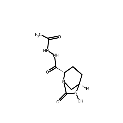 O=C(NNC(=O)C(F)(F)F)[C@@H]1CC[C@@H]2CN1C(=O)N2O